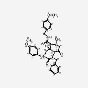 COc1ccc(CNC(=O)N2[C@H]3CN(Cc4ccc(OC)cc4)C(=O)[C@H](Cc4ccccc4)N3C(=O)CN2C)cc1